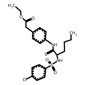 CCCCC(NS(=O)(=O)c1ccc(Cl)cc1)C(=S)Nc1ccc(CC(=O)OCC)cc1